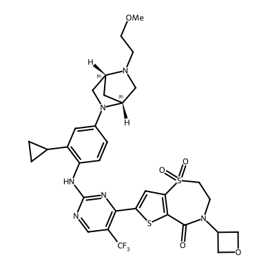 COCCN1C[C@H]2C[C@@H]1CN2c1ccc(Nc2ncc(C(F)(F)F)c(-c3cc4c(s3)C(=O)N(C3COC3)CCS4(=O)=O)n2)c(C2CC2)c1